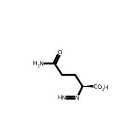 N=N[C@@H](CCC(N)=O)C(=O)O